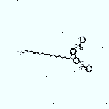 CCCCCCCCCCCCCCCCCn1c2ccc(OC(=O)c3ccccn3)cc2c2cc(OC(=O)c3ccccn3)ccc21